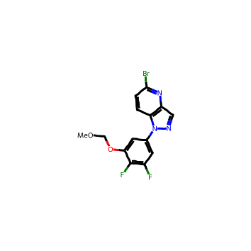 COCOc1cc(-n2ncc3nc(Br)ccc32)cc(F)c1F